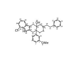 COc1cccc(C23CCN(CCc4ccccc4)CC2(O)Cc2c([nH]c4c(Cl)cccc24)C3)c1